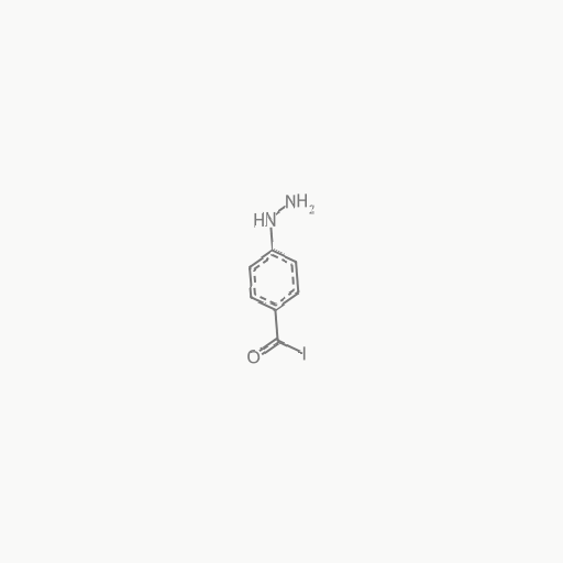 NNc1ccc(C(=O)I)cc1